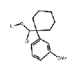 CCOC(Cl)C1(c2cccc(OC)c2)CCCCC1